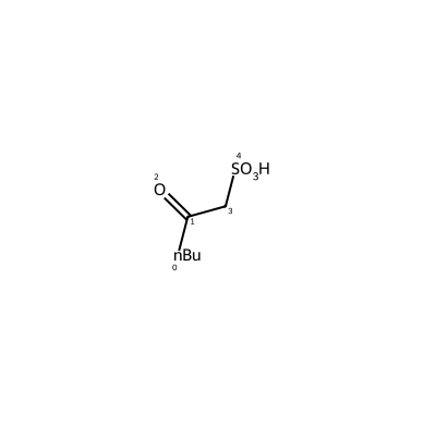 CCCCC(=O)CS(=O)(=O)O